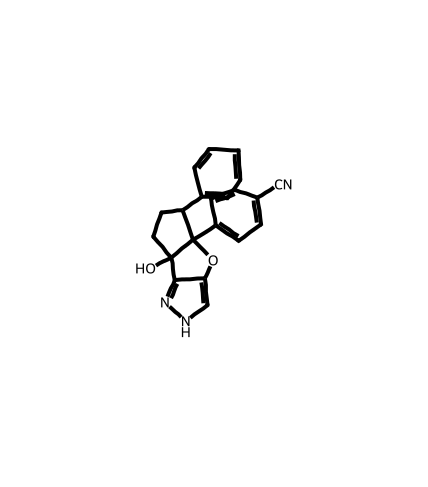 N#Cc1ccc(C23Oc4c[nH]nc4C2(O)CCC3c2ccccc2)cc1